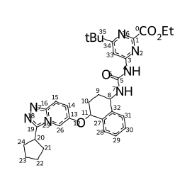 CCOC(=O)c1nc(NC(=O)NC2CCC(Oc3ccc4nnc(C5CCCC5)n4c3)c3ccccc32)cc(C(C)(C)C)n1